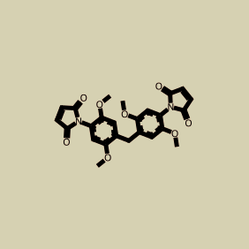 COc1cc(N2C(=O)C=CC2=O)c(OC)cc1Cc1cc(OC)c(N2C(=O)C=CC2=O)cc1OC